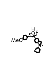 COc1ccc(SCC(O)(CF)c2ccc3c(cnn3-c3ccccc3)c2)cc1